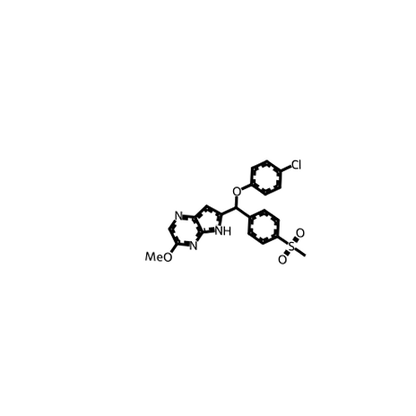 COc1cnc2cc(C(Oc3ccc(Cl)cc3)c3ccc(S(C)(=O)=O)cc3)[nH]c2n1